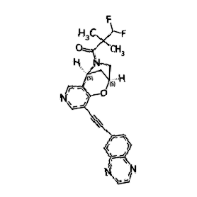 CC(C)(C(=O)N1C[C@@H]2C[C@H]1c1cncc(C#Cc3ccc4nccnc4c3)c1O2)C(F)F